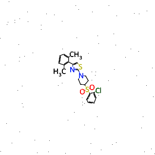 Cc1cccc(C)c1-c1csc(N2CCC(S(=O)(=O)c3ccccc3Cl)CC2)n1